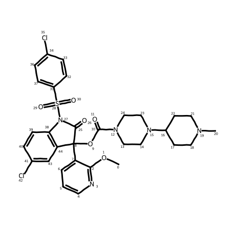 COc1ncccc1C1(OC(=O)N2CCN(C3CCN(C)CC3)CC2)C(=O)N(S(=O)(=O)c2ccc(Cl)cc2)c2ccc(Cl)cc21